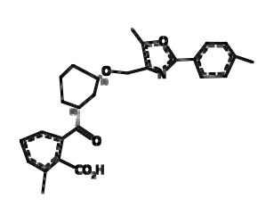 Cc1ccc(-c2nc(CO[C@H]3CCC[C@@H](C(=O)c4cccc(C)c4C(=O)O)C3)c(C)o2)cc1